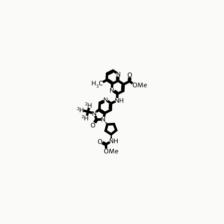 [2H]C([2H])([2H])n1c(=O)n([C@@H]2CC[C@@H](NC(=O)OC)C2)c2cc(Nc3cc(C(=O)OC)c4nccc(C)c4n3)ncc21